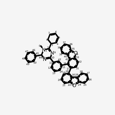 CN1C(C2C=CC=CC2)=NC(c2cccc(-c3c(-c4cccc5oc6ccccc6c45)ccc4oc5ccccc5c34)c2)=NC1c1ccccc1